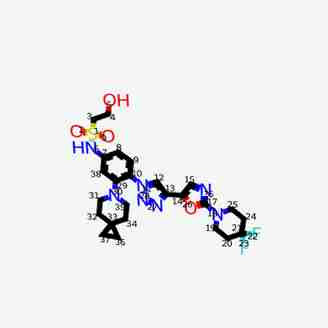 O=S(=O)(CCO)Nc1ccc(-n2cc(-c3cnc(N4CCC(F)(F)CC4)o3)nn2)c(N2CCC3(CC2)CC3)c1